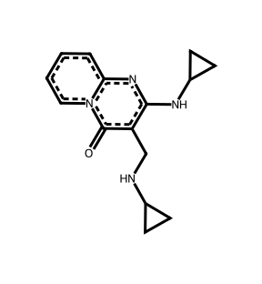 O=c1c(CNC2CC2)c(NC2CC2)nc2ccccn12